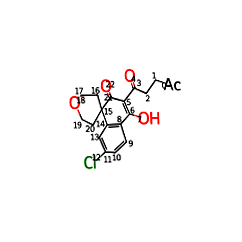 CC(=O)CCC(=O)C1=C(O)c2ccc(Cl)cc2C2(CCOCC2)C1=O